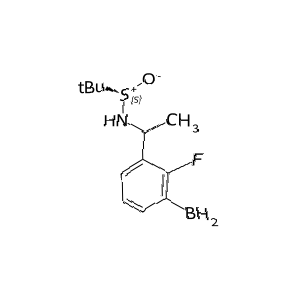 Bc1cccc(C(C)N[S@+]([O-])C(C)(C)C)c1F